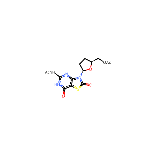 CC(=O)Nc1nc2c(sc(=O)n2[C@H]2CC[C@@H](COC(C)=O)O2)c(=O)[nH]1